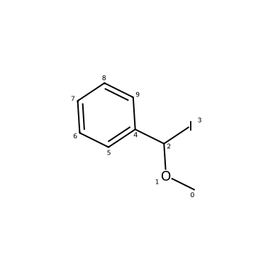 COC(I)c1ccccc1